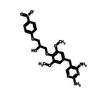 COc1cc(Cc2cnc(N)nc2N)cc(OC)c1OCC(O)COc1ccc([N+](=O)[O-])cc1